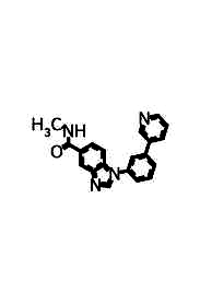 CNC(=O)c1ccc2c(c1)ncn2-c1cccc(-c2cccnc2)c1